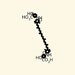 CC1=C(/C=C/C(C)=C/C=C/C(C)=C/C=C/C=C(C)/C=C/C=C(C)/C=C/C2=C(C)C(=O)C(Nc3ccc(O)c(C(=O)O)c3)CC2(C)C)C(C)(C)CC(Nc2ccc(O)c(C(=O)O)c2)C1=O